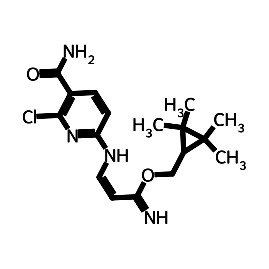 CC1(C)C(COC(=N)/C=C\Nc2ccc(C(N)=O)c(Cl)n2)C1(C)C